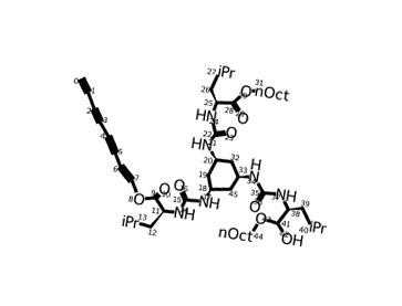 C#CC#CC#CC#COC(=O)[C@H](CC(C)C)NC(=O)N[C@H]1C[C@@H](NC(=O)N[C@@H](CC(C)C)C(=O)OCCCCCCCC)C[C@@H](NC(=O)N[C@@H](CC(C)C)C(O)OCCCCCCCC)C1